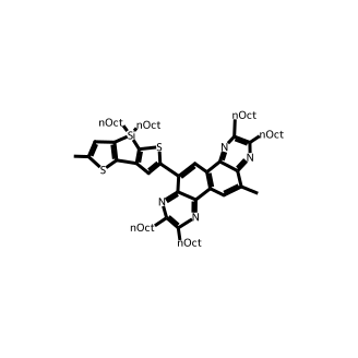 CCCCCCCCc1nc2c(C)cc3c(cc(-c4cc5c(s4)[Si](CCCCCCCC)(CCCCCCCC)c4cc(C)sc4-5)c4nc(CCCCCCCC)c(CCCCCCCC)nc43)c2nc1CCCCCCCC